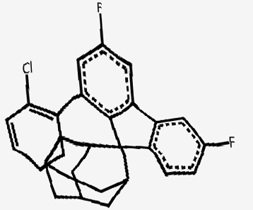 Fc1ccc2c(c1)-c1cc(F)cc(C3=C(Cl)C=CCC3)c1C21C2CC3CC(C2)CC1C3